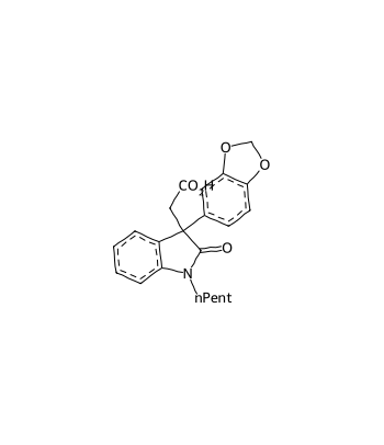 CCCCCN1C(=O)C(CC(=O)O)(c2ccc3c(c2)OCO3)c2ccccc21